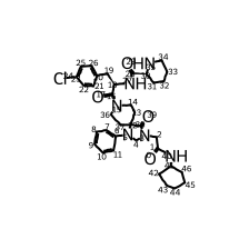 O=C(CN1CN(c2ccccc2)C2(CCN(C(=O)[C@@H](Cc3ccc(Cl)cc3)NC(=O)[C@@H]3CCCCN3)CC2)C1=O)NC1CCCCC1